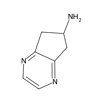 NC1Cc2nccnc2C1